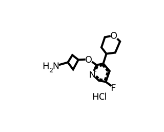 Cl.NC1CC(Oc2ncc(F)cc2C2CCOCC2)C1